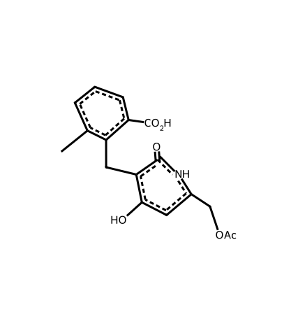 CC(=O)OCc1cc(O)c(Cc2c(C)cccc2C(=O)O)c(=O)[nH]1